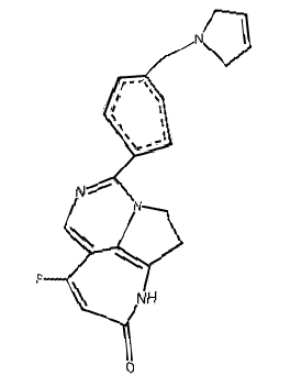 O=C1C=C(F)C2=CN=C(c3ccc(CN4CC=CC4)cc3)N3CCC(=C23)N1